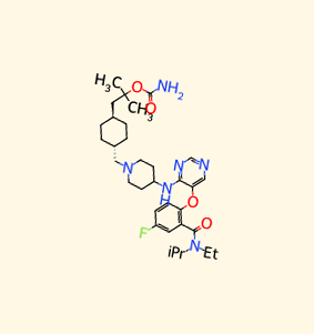 CCN(C(=O)c1cc(F)ccc1Oc1cncnc1NC1CCN(C[C@H]2CC[C@H](CC(C)(C)OC(N)=O)CC2)CC1)C(C)C